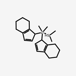 C[SiH](C)[Zr]([CH3])([CH3])([CH]1C=CC2=C1CCCC2)[CH]1C=CC2=C1CCCC2